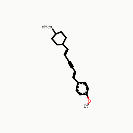 CCCCCCC1CCC(C=CC#CC=Cc2ccc(OCC)cc2)CC1